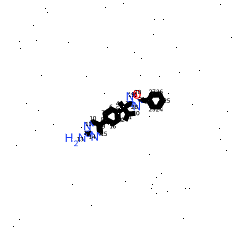 CC(C)C(C)(c1ccc(-c2cnc(N)nc2)cc1)c1noc(-c2ccccc2)n1